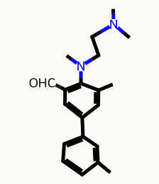 Cc1cccc(-c2cc(C)c(N(C)CCN(C)C)c(C=O)c2)c1